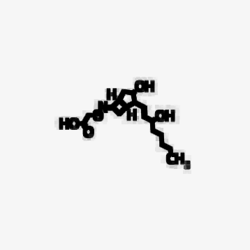 CCCCCC(O)C=CC1C(O)C[C@@H]2C(=NOCC(=O)O)C[C@@H]12